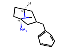 CN1[C@H]2CC[C@]1(N)CC(Cc1ccccc1)C2